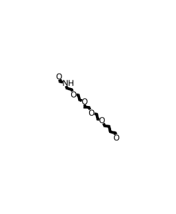 O=CCCCOCCOCCOCCOCCNC=O